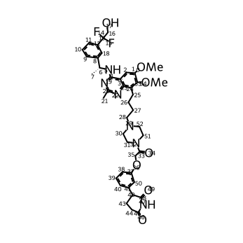 COc1cc2c(N[C@H](C)c3cccc(C(F)(F)CO)c3)nc(C)nc2c(CCCCN2CCN(C(=O)COc3cccc(C4CCC(=O)NC4=O)c3)CC2)c1OC